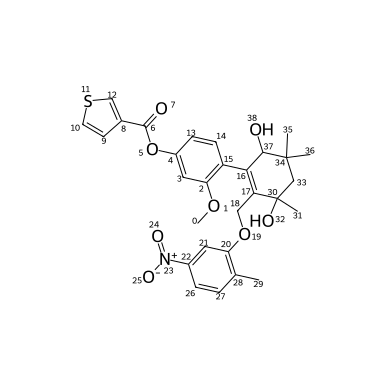 COc1cc(OC(=O)c2ccsc2)ccc1C1=C(COc2cc([N+](=O)[O-])ccc2C)C(C)(O)CC(C)(C)C1O